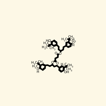 CC(C)(C)c1cc(CCC(CCc2ccc(O)c(C(C)(C)C)c2)OC(=O)CCC(=O)OC(CCc2ccc(O)c(C(C)(C)C)c2)CCc2ccc(O)c(C(C)(C)C)c2)ccc1O